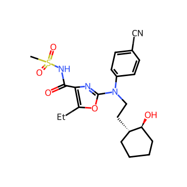 CCc1oc(N(CC[C@H]2CCCC[C@@H]2O)c2ccc(C#N)cc2)nc1C(=O)NS(C)(=O)=O